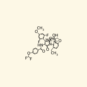 CCc1ccc2[n+](c1-n1c(=O)c(NC(=O)c3ccc(OC(F)F)cc3)c(-c3c(F)cc(OC)cc3F)n1C)C(C)(O)CO2